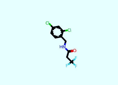 O=C(CC(F)(F)F)NCc1ccc(Cl)cc1Cl